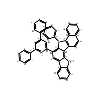 c1ccc(-c2cc(-c3ccccc3)nc(-c3cc4c5ccccc5oc4c4c5ccc6ccccc6c5n(-c5ccccc5)c34)c2)cc1